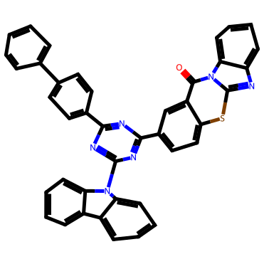 O=c1c2cc(-c3nc(-c4ccc(-c5ccccc5)cc4)nc(-n4c5ccccc5c5ccccc54)n3)ccc2sc2nc3ccccc3n12